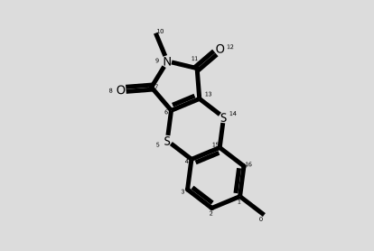 Cc1ccc2sc3c(=O)n(C)c(=O)c=3sc2c1